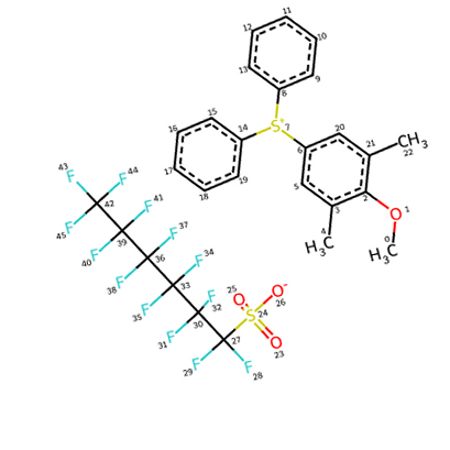 COc1c(C)cc([S+](c2ccccc2)c2ccccc2)cc1C.O=S(=O)([O-])C(F)(F)C(F)(F)C(F)(F)C(F)(F)C(F)(F)C(F)(F)F